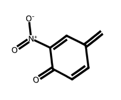 C=C1C=CC(=O)C([N+](=O)[O-])=C1